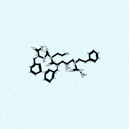 CC(C)CCN(C(=O)N[C@@H](Cc1ccccc1)C(N)=O)C(=O)[C@H](Cc1ccccc1)C[C@@H](O)CN(CCc1ccccc1)C(=O)OC(C)(C)C